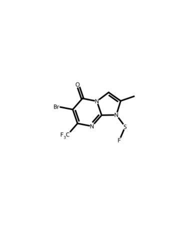 Cc1cn2c(=O)c(Br)c(C(F)(F)F)nc2n1SF